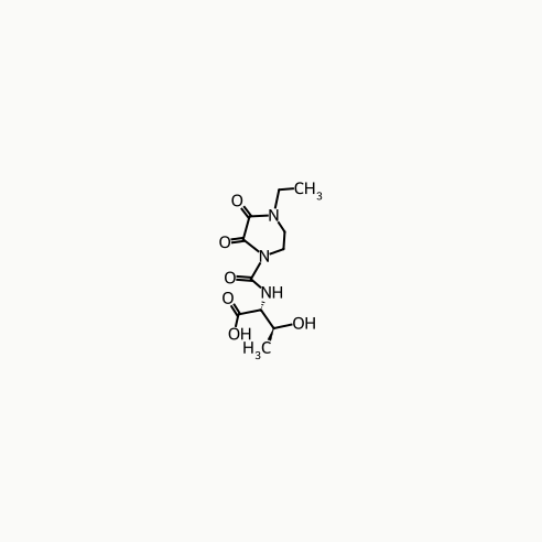 CCN1CCN(C(=O)N[C@@H](C(=O)O)[C@H](C)O)C(=O)C1=O